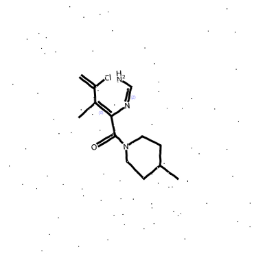 C=C(Cl)/C(C)=C(\N=C/N)C(=O)N1CCC(C)CC1